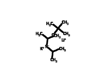 CC(C)(C)[O-].CC(C)[N-]C(C)C.[K+].[Li+]